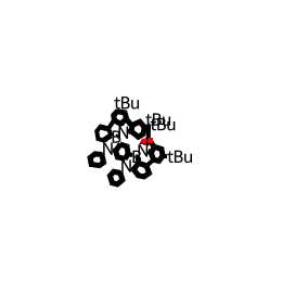 CC(C)(C)c1ccc2c(c1)c1cc(C(C)(C)C)cc3c1n2B1C2=C(CCC=C23)N(c2ccccc2)c2cc3c(cc21)B1c2c(cccc2N3c2ccccc2)-c2cc(C(C)(C)C)cc3c4cc(C(C)(C)C)ccc4n1c23